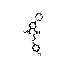 O=[N+]([O-])c1ccc(N2CCNCC2)cc1NCCOc1ccc(Cl)cc1